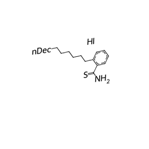 CCCCCCCCCCCCCCCCc1ccccc1C(N)=S.I